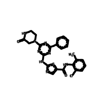 Cc1cccc(Cl)c1NC(=O)c1cnc(Nc2nc(-c3ccccc3)nc(N3CCNC(=O)C3)n2)s1